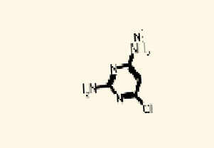 Nc1cc(Cl)nc(N)n1.[N]